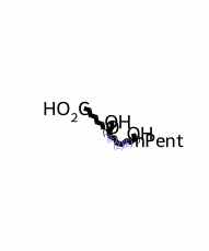 CCCCC[C@H](O)/C=C/C=C\C=C\[C@H](CCCCCCC(=O)O)OO